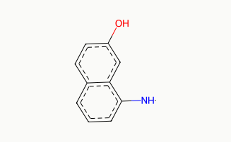 [NH]c1cccc2ccc(O)cc12